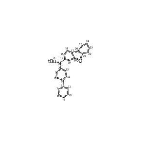 CC(C)(C)N(c1ccc(-c2ccccc2)cc1)c1ccc2c(c1)oc1ccccc12